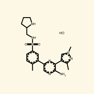 Cc1ccc(S(=O)(=O)NCC2CCCN2)cc1-c1cnc(N)c(-c2cn(C)nc2C)n1.Cl